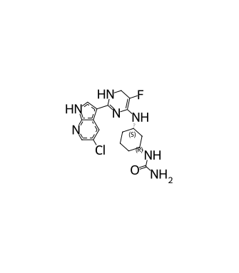 NC(=O)N[C@@H]1CCC[C@H](NC2=C(F)CNC(c3c[nH]c4ncc(Cl)cc34)=N2)C1